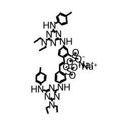 CCN(CC)c1nc(Nc2ccc(C)cc2)nc(Nc2ccc(C=Cc3ccc(Nc4nc(Nc5ccc(C)cc5)nc(N(CC)CC)n4)cc3S(=O)(=O)[O-])c(S(=O)(=O)[O-])c2)n1.[Na+].[Na+]